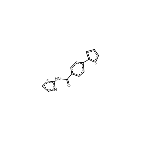 O=C(Nc1nccs1)c1ccc(-c2cccs2)cc1